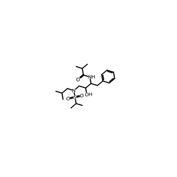 CC(C)CN(CC(O)C(Cc1ccccc1)NC(=O)C(C)C)S(=O)(=O)C(C)C